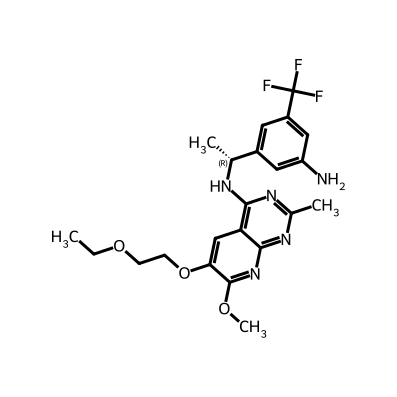 CCOCCOc1cc2c(N[C@H](C)c3cc(N)cc(C(F)(F)F)c3)nc(C)nc2nc1OC